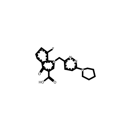 O=C(O)c1cn(Cc2ccc(N3CCCCC3)nn2)c2c(F)cccc2c1=O